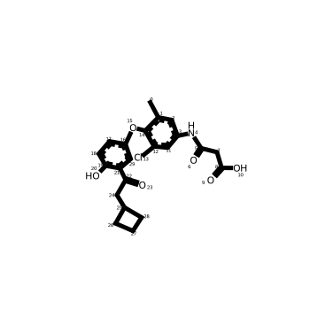 Cc1cc(NC(=O)CC(=O)O)cc(Cl)c1Oc1ccc(O)c(C(=O)CC2CCC2)c1